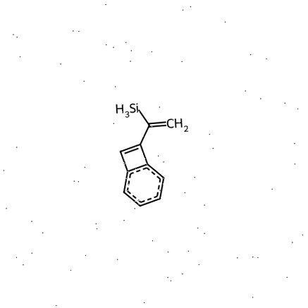 C=C([SiH3])C1=Cc2ccccc21